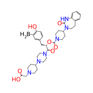 Bc1cc(C[C@@H](OC(=O)N2CCC(N3CCc4ccccc4NC3=O)CC2)C(=O)N2CCN(C3CCN(CC(=O)O)CC3)CC2)ccc1O